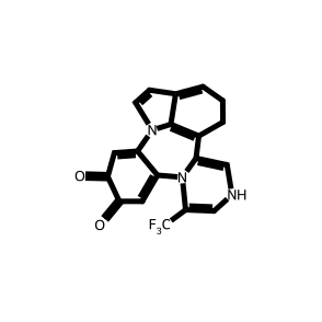 O=c1cc2c(cc1=O)n1c(C(F)(F)F)c[nH]cc1c1c3c(ccn32)=CCC1